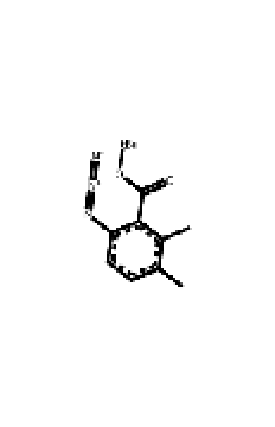 Cc1ccc(N=[N+]=[N-])c(C(=O)OC(C)(C)C)c1C